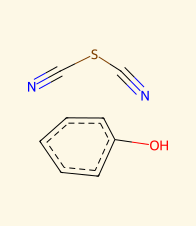 N#CSC#N.Oc1ccccc1